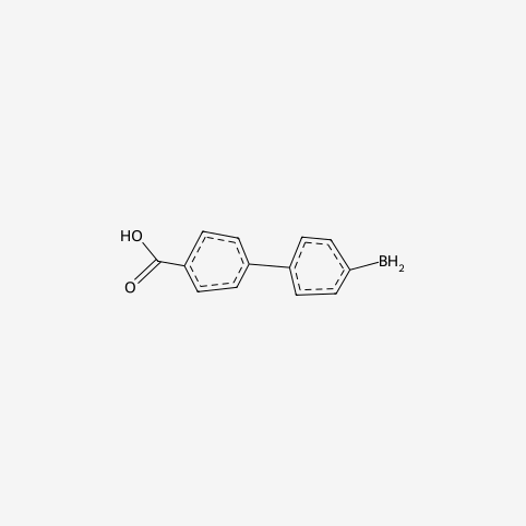 Bc1ccc(-c2ccc(C(=O)O)cc2)cc1